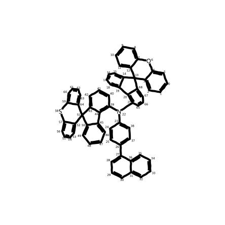 c1ccc2c(c1)Oc1ccccc1C21c2ccccc2-c2c(N(c3ccc(-c4cccc5ccccc45)cc3)c3cccc4c3-c3ccccc3C43c4ccccc4Sc4ccccc43)cccc21